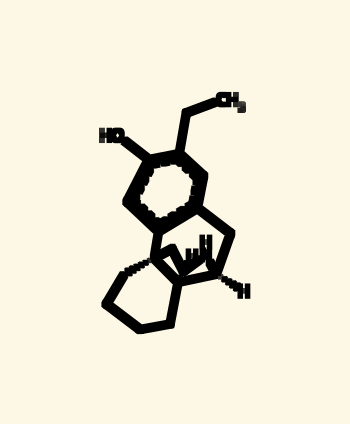 CCc1cc2c(cc1O)[C@]13CCCC[C@@H]1[C@H](C2)NCC3